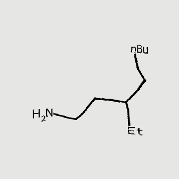 C[CH]CCCC(CC)CCN